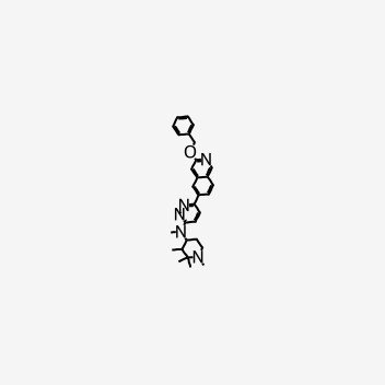 CC1C(N(C)c2ccc(-c3ccc4cnc(OCc5ccccc5)cc4c3)nn2)CCN(C)C1(C)C